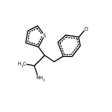 CC(N)C(Cc1ccc(Cl)cc1)c1cccs1